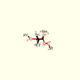 CCC(OC(C)C)(C(C)=O)C(=O)OOC(C)C.[AlH3]